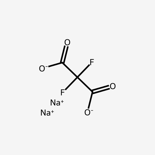 O=C([O-])C(F)(F)C(=O)[O-].[Na+].[Na+]